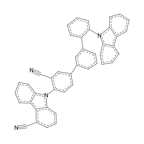 N#Cc1cc(-c2cccc(-c3ccccc3-n3c4ccccc4c4ccccc43)c2)ccc1-n1c2ccccc2c2c(C#N)cccc21